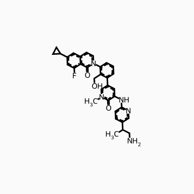 CC(CN)c1ccc(Nc2cc(-c3cccc(-n4ccc5cc(C6CC6)cc(F)c5c4=O)c3CO)cn(C)c2=O)nc1